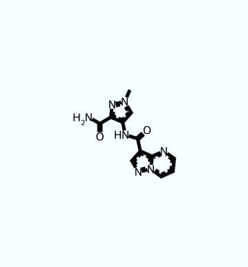 Cn1cc(NC(=O)c2cnn3cccnc23)c(C(N)=O)n1